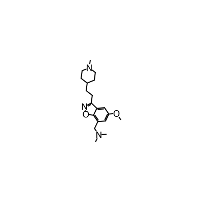 COc1cc(CN(C)C)c2onc(CCC3CCN(C)CC3)c2c1